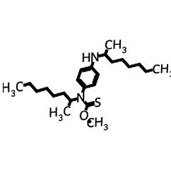 CCCCCCC(C)Nc1ccc(N(C(=S)OC)C(C)CCCCCC)cc1